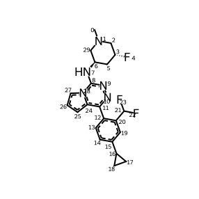 CN1C[C@H](F)C[C@@H](Nc2nnc(-c3ccc(C4CC4)cc3C(F)F)c3cccn23)C1